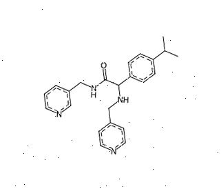 CC(C)c1ccc(C(NCc2ccncc2)C(=O)NCc2cccnc2)cc1